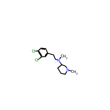 CN1CCCC(N(C)CCc2ccc(Cl)c(Cl)c2)C1